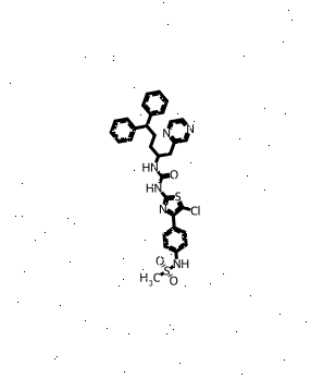 CS(=O)(=O)Nc1ccc(-c2nc(NC(=O)NC(CCC(c3ccccc3)c3ccccc3)Cc3cnccn3)sc2Cl)cc1